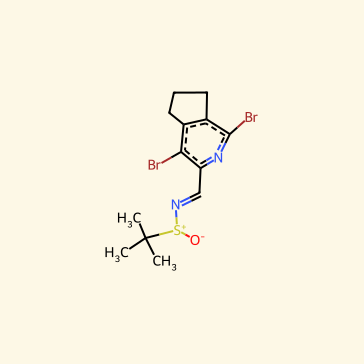 CC(C)(C)[S+]([O-])N=Cc1nc(Br)c2c(c1Br)CCC2